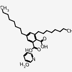 CCCCCCCCc1cc(CCCCCCCC)c(C(=O)O)c(C(=O)O)c1.O.c1ccncc1